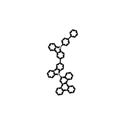 c1ccc(-c2ccc(-n3c4ccccc4c4cc(-c5ccc6c(c5)c5ccccc5n6-c5cc6c7ccccc7c7ccccc7c6c6ccccc56)ccc43)cc2)cc1